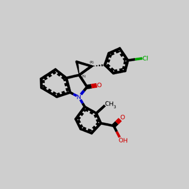 Cc1c(C(=O)O)cccc1N1C(=O)[C@]2(C[C@@H]2c2ccc(Cl)cc2)c2ccccc21